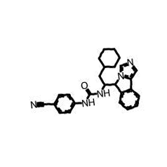 N#Cc1ccc(NC(=O)NC(CC2CCCCC2)C2c3ccccc3-c3cncn32)cc1